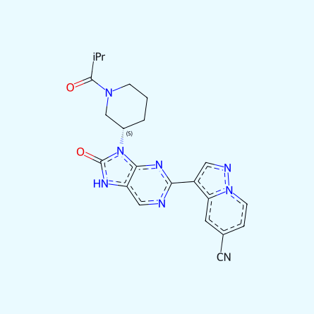 CC(C)C(=O)N1CCC[C@H](n2c(=O)[nH]c3cnc(-c4cnn5ccc(C#N)cc45)nc32)C1